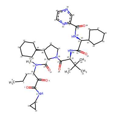 CCC[C@@H](C(=O)C(=O)NC1CC1)N(C)C(=O)[C@@H]1[C@@H](C2CCCCC2)CCN1C(=O)[C@@H](NC(=O)[C@@H](NC(=O)c1cnccn1)C1CCCCC1)C(C)(C)C